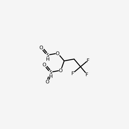 O=[SH]OC(CC(F)(F)F)O[SH](=O)=O